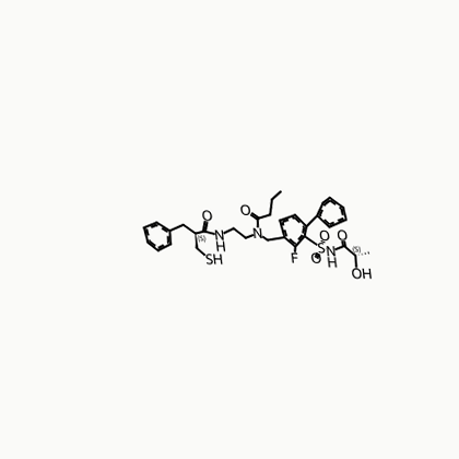 CCCC(=O)N(CCNC(=O)[C@@H](CS)Cc1ccccc1)Cc1ccc(-c2ccccc2)c(S(=O)(=O)NC(=O)[C@H](C)O)c1F